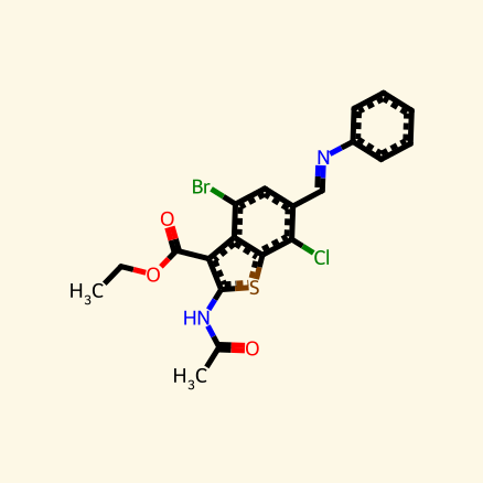 CCOC(=O)c1c(NC(C)=O)sc2c(Cl)c(/C=N/c3ccccc3)cc(Br)c12